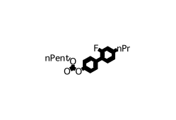 CCCCCOC(=O)Oc1ccc(-c2ccc(CCC)cc2F)cc1